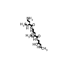 CNCC(O)CNC(=O)[C@H](CCCNC(=O)[C@H](CCN)NC)NC